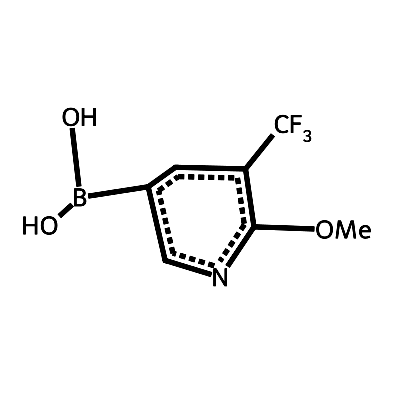 COc1ncc(B(O)O)cc1C(F)(F)F